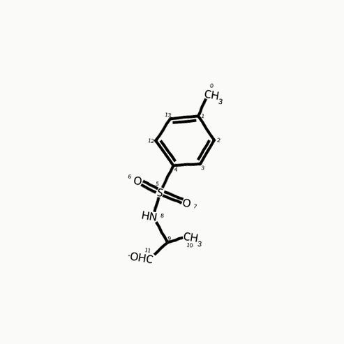 Cc1ccc(S(=O)(=O)NC(C)[C]=O)cc1